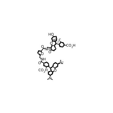 CN(C)c1ccc2c(-c3ccc(C(=O)NCc4ccc(C(=O)NCc5c6oc7cc(O)ccc7c(-c7ccc(C(=O)O)cc7C(=O)O)c-6ccc5=O)o4)cc3C(=O)O)c3ccc(=[N+](C)C)cc-3oc2c1